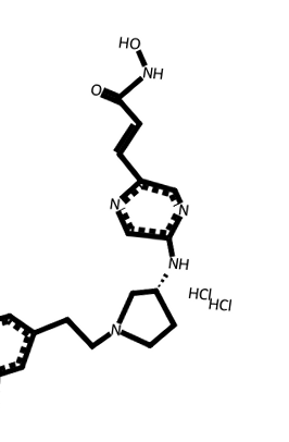 Cl.Cl.O=C(/C=C/c1cnc(N[C@@H]2CCN(CCc3cccc(F)c3)C2)cn1)NO